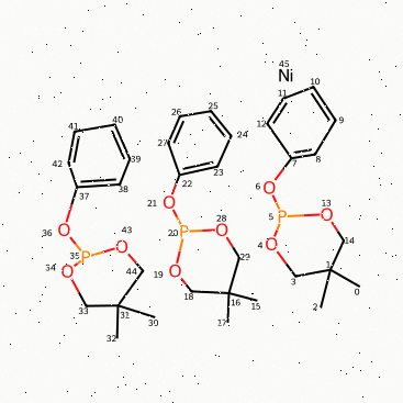 CC1(C)COP(Oc2ccccc2)OC1.CC1(C)COP(Oc2ccccc2)OC1.CC1(C)COP(Oc2ccccc2)OC1.[Ni]